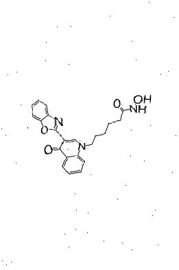 O=C(CCCCCn1cc(-c2nc3ccccc3o2)c(=O)c2ccccc21)NO